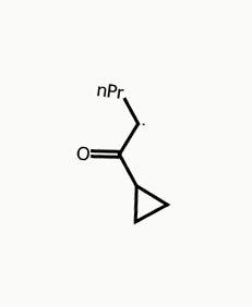 CCC[CH]C(=O)C1CC1